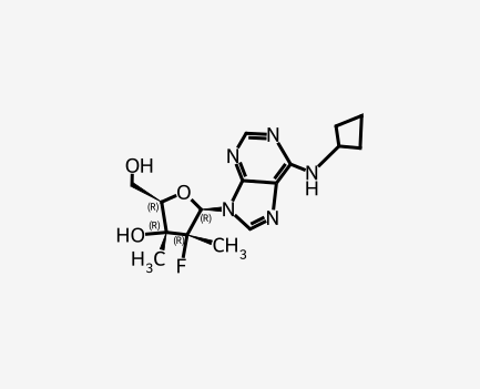 C[C@]1(F)[C@H](n2cnc3c(NC4CCC4)ncnc32)O[C@H](CO)[C@@]1(C)O